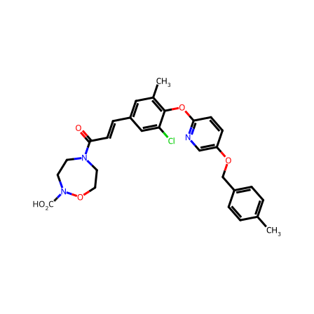 Cc1ccc(COc2ccc(Oc3c(C)cc(C=CC(=O)N4CCON(C(=O)O)CC4)cc3Cl)nc2)cc1